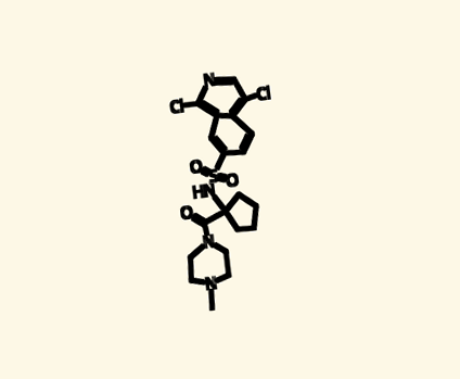 CN1CCN(C(=O)C2(NS(=O)(=O)c3ccc4c(Cl)cnc(Cl)c4c3)CCCC2)CC1